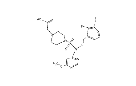 COc1cc(N(SCc2cccc(F)c2F)S(=O)(=O)N2CCN(CC(=O)O)CC2)ncn1